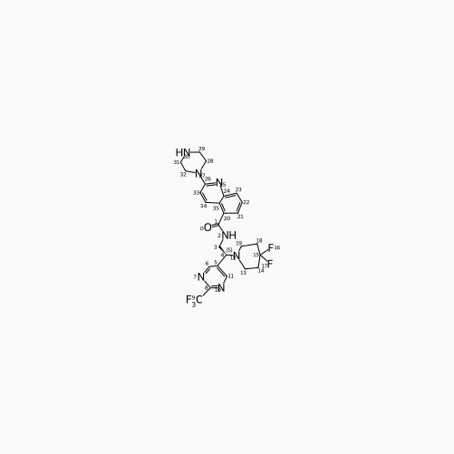 O=C(NC[C@H](c1cnc(C(F)(F)F)nc1)N1CCC(F)(F)CC1)c1cccc2nc(N3CCNCC3)ccc12